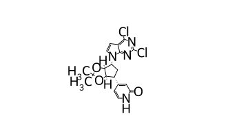 CC1(C)O[C@@H]2[C@H](O1)[C@@H](c1cc[nH]c(=O)c1)C[C@H]2n1ccc2c(Cl)nc(Cl)nc21